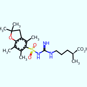 Cc1c(C)c(S(=O)(=O)NC(=N)NCCC[C@H](C)C(=O)O)c(C)c2c1OC(C)(C)C2